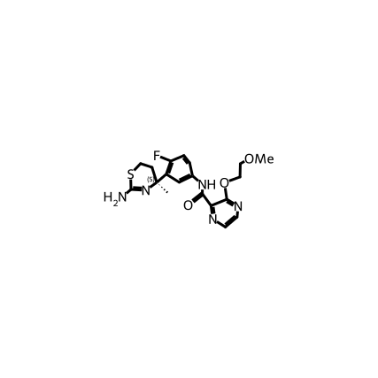 COCCOc1nccnc1C(=O)Nc1ccc(F)c([C@]2(C)CCSC(N)=N2)c1